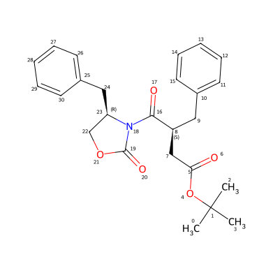 CC(C)(C)OC(=O)C[C@H](Cc1ccccc1)C(=O)N1C(=O)OC[C@H]1Cc1ccccc1